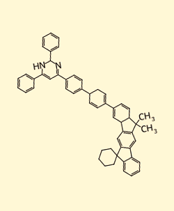 CC1(C)c2cc3c(cc2C2C=C(C4=CCC(c5ccc(C6=NC(c7ccccc7)NC(c7ccccc7)=C6)cc5)C=C4)C=CC21)C1(CCCCC1)c1ccccc1-3